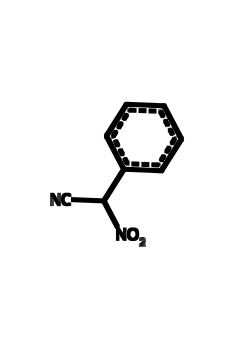 N#CC(c1ccccc1)[N+](=O)[O-]